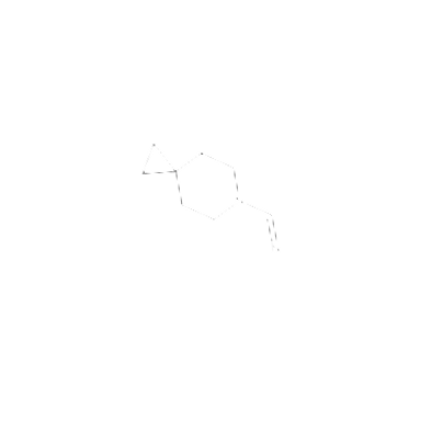 N=CN1CCC2(CC1)CC2